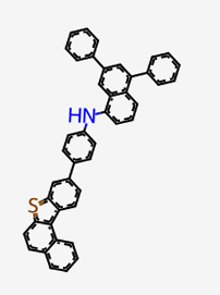 c1ccc(-c2cc(-c3ccccc3)c3cccc(Nc4ccc(-c5ccc6c(c5)sc5ccc7ccccc7c56)cc4)c3c2)cc1